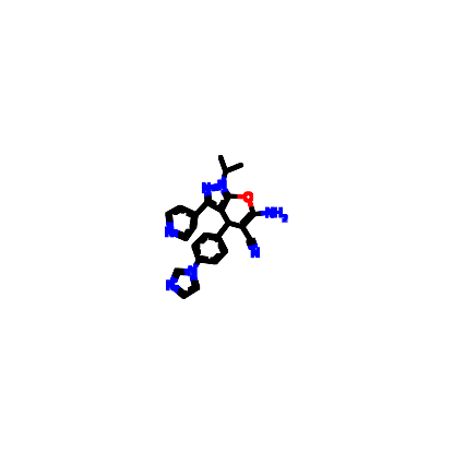 CC(C)n1nc(-c2ccncc2)c2c1OC(N)=C(C#N)C2c1ccc(-n2ccnc2)cc1